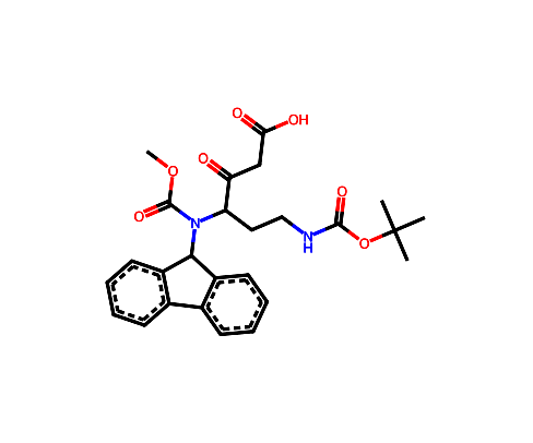 COC(=O)N(C(CCNC(=O)OC(C)(C)C)C(=O)CC(=O)O)C1c2ccccc2-c2ccccc21